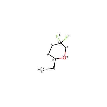 CC[C@H]1CCC(F)(F)CO1